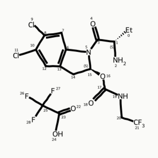 CC[C@H](N)C(=O)N1c2cc(Cl)c(Cl)cc2C[C@@H]1OC(=O)NCC(F)(F)F.O=C(O)C(F)(F)F